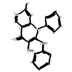 CNc1c(Nc2ccccc2)n(-c2ccccc2)c2cc(C)ncc2c1=O